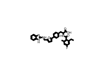 CCc1cc(F)cc(C)c1C(=O)NC(Cc1ccc(-c2ccc(CNc3nc4ccccc4[nH]3)o2)cc1)C(=O)O